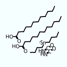 CCCCCCCCCCCC(=O)O.CCCCCCCCCCCC(=O)O.CCC[CH2][Sn][CH2]CCC.N=C=O.N=C=O